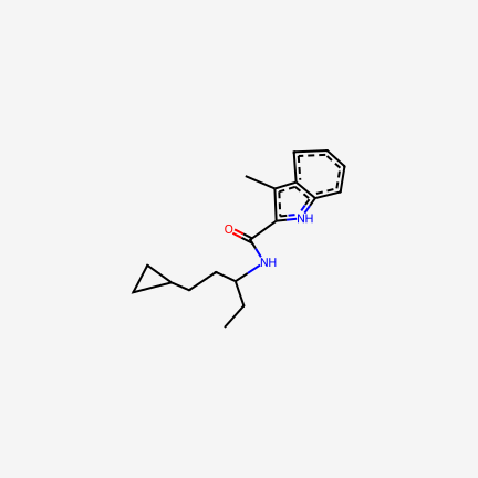 CCC(CCC1CC1)NC(=O)c1[nH]c2ccccc2c1C